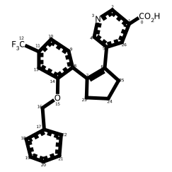 O=C(O)c1cncc(C2=C(c3ccc(C(F)(F)F)cc3OCc3ccccc3)CCC2)c1